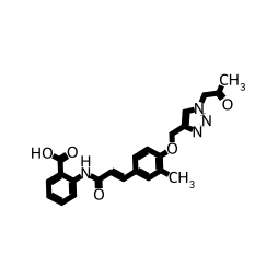 CC(=O)Cn1cc(COc2ccc(/C=C/C(=O)Nc3ccccc3C(=O)O)cc2C)nn1